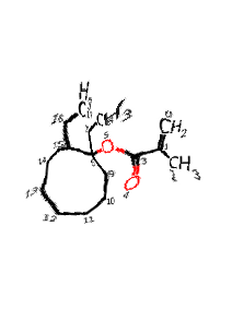 C=C(C)C(=O)OC1(CC)CCCCCCC1CC